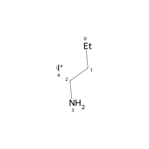 CCCCN.[I+]